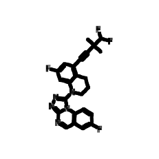 CC(C)(C#Cc1cc(F)cc2c1CCCN2c1nnc2ncc3cc(F)ccc3n12)C(F)F